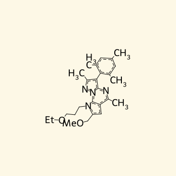 CCOCCCn1c(COC)cc2c(C)nc3c(-c4c(C)cc(C)cc4C)c(C)nn3c21